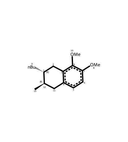 CCCC[C@@H]1Cc2c(ccc(OC)c2OC)C[C@H]1C